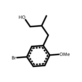 COc1ccc(Br)cc1CC(C)CO